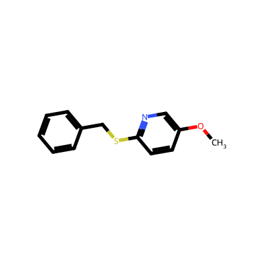 COc1ccc(SCc2ccccc2)nc1